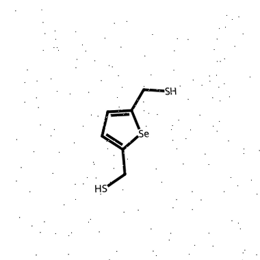 SCc1ccc(CS)[se]1